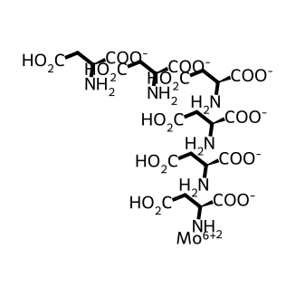 N[C@@H](CC(=O)O)C(=O)[O-].N[C@@H](CC(=O)O)C(=O)[O-].N[C@@H](CC(=O)O)C(=O)[O-].N[C@@H](CC(=O)O)C(=O)[O-].N[C@@H](CC(=O)O)C(=O)[O-].N[C@@H](CC(=O)O)C(=O)[O-].[Mo+6]